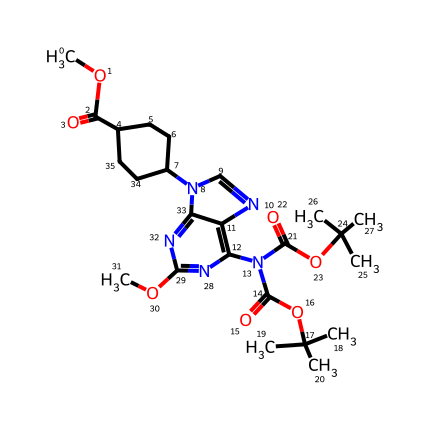 COC(=O)C1CCC(n2cnc3c(N(C(=O)OC(C)(C)C)C(=O)OC(C)(C)C)nc(OC)nc32)CC1